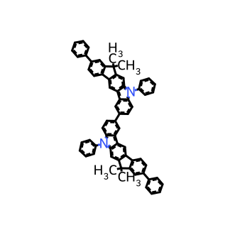 CC1(C)c2cc(-c3ccccc3)ccc2-c2cc3c4cc(-c5ccc6c(c5)c5cc7c(cc5n6-c5ccccc5)C(C)(C)c5cc(-c6ccccc6)ccc5-7)ccc4n(-c4ccccc4)c3cc21